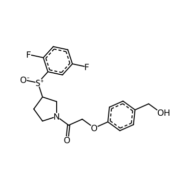 O=C(COc1ccc(CO)cc1)N1CCC([S+]([O-])c2cc(F)ccc2F)C1